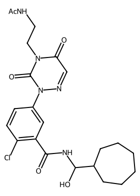 CC(=O)NCCn1c(=O)cnn(-c2ccc(Cl)c(C(=O)NC(O)C3CCCCCC3)c2)c1=O